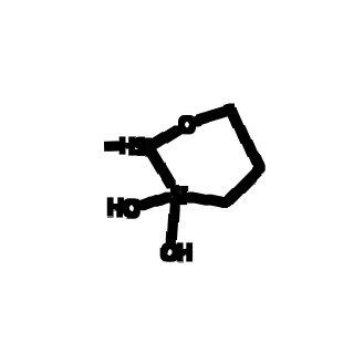 C[SiH]1OCCC[Si]1(O)O